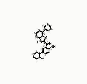 Cc1ccncc1-c1ccc2[nH]nc(-c3nc4c(-c5cccnc5)ccnc4[nH]3)c2c1